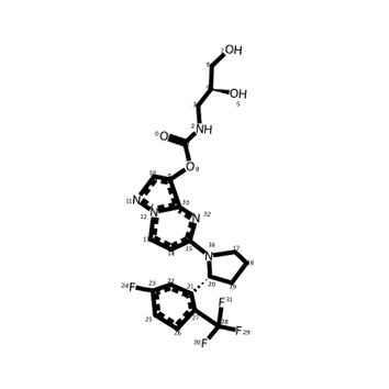 O=C(NC[C@H](O)CO)Oc1cnn2ccc(N3CCC[C@@H]3c3cc(F)ccc3C(F)(F)F)nc12